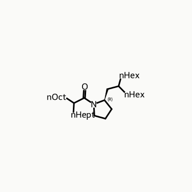 CCCCCCCCC(CCCCCCC)C(=O)N1CCC[C@@H]1CC(CCCCCC)CCCCCC